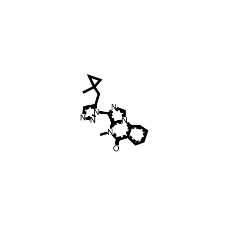 Cn1c(=O)c2ccccc2n2cnc(-n3nncc3CC3(C)CC3)c12